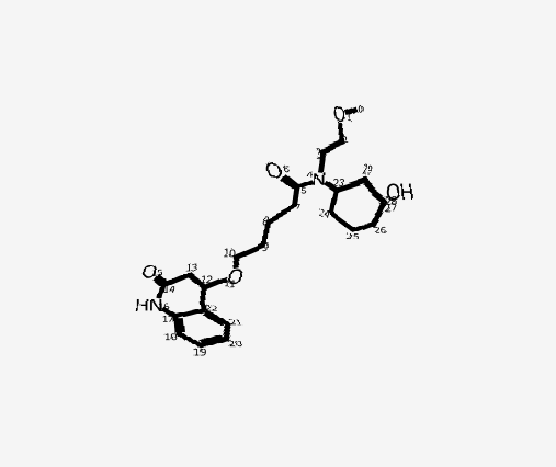 COCCN(C(=O)CCCCOC1CC(=O)Nc2ccccc21)C1CCCC(O)C1